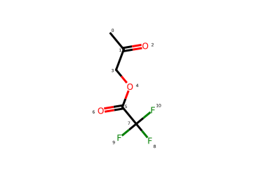 CC(=O)COC(=O)C(F)(F)F